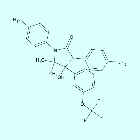 Cc1ccc(N2C(=O)N(c3ccc(C)cc3)C(O)(c3cccc(OC(F)(F)F)c3)C2(C)C)cc1